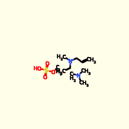 C=CCN(C)CC.CN(C)C.COS(=O)(=O)O